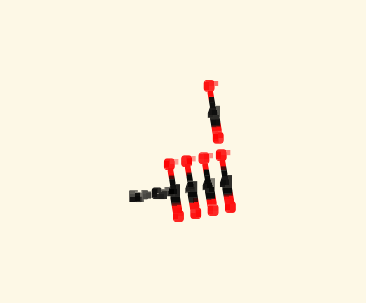 [Ca+2].[Eu+3].[O]=[Al][O-].[O]=[Al][O-].[O]=[Al][O-].[O]=[Al][O-].[O]=[Al][O-]